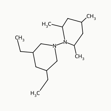 CCC1CC(CC)CN(N2C(C)CC(C)CC2C)C1